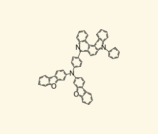 c1ccc(-n2c3ccccc3c3c4c(ccc32)c(-c2ccc(N(c3ccc5c(c3)oc3ccccc35)c3ccc5c(c3)oc3ccccc35)cc2)nc2ccccc24)cc1